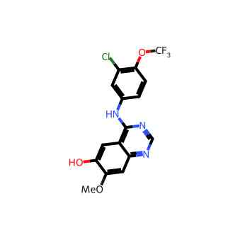 COc1cc2ncnc(Nc3ccc(OC(F)(F)F)c(Cl)c3)c2cc1O